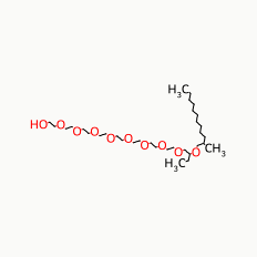 CCCCCCCCCCC(C)COC(CC)COCCOCCOCCOCCOCCOCCOCCOCCO